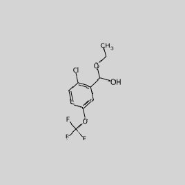 CCOC(O)c1cc(OC(F)(F)F)ccc1Cl